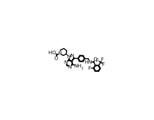 Nc1ncnc2c1c(-c1ccc(CNC(=O)c3c(F)cccc3C(F)(F)F)cc1)nn2[C@@H]1CCCN(C(=O)O)C1